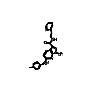 CCCn1nc(C(=O)NCCc2ccccn2)c2ccc(Nc3ccc(C)cc3)nc21